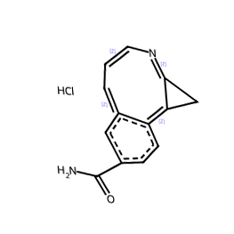 Cl.NC(=O)c1ccc2/c(c1)=C\C=C/N=C1/C/C=21